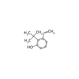 C=Cc1cccc(O)c1C(C)(C)C